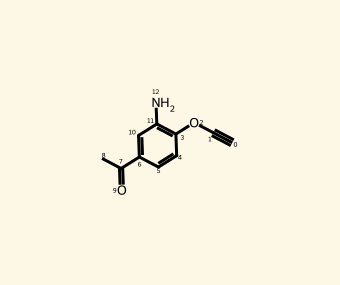 C#COc1ccc(C(C)=O)cc1N